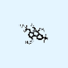 CCNC(C)c1cc(C(F)(F)F)ccc1-c1cc(CC(=O)OC)ccc1OC